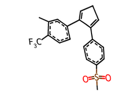 Cc1cc(C2=CCC=C2c2ccc(S(C)(=O)=O)cc2)ccc1C(F)(F)F